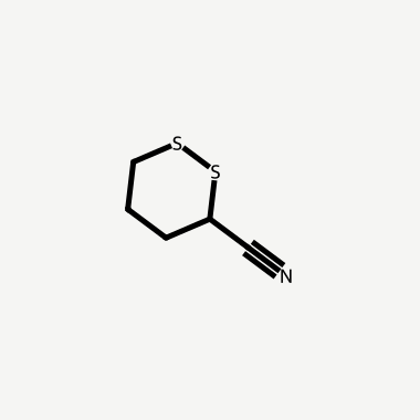 N#CC1CCCSS1